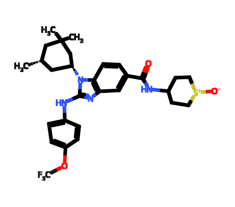 C[C@H]1C[C@@H](n2c(Nc3ccc(OC(F)(F)F)cc3)nc3cc(C(=O)NC4CC[S+]([O-])CC4)ccc32)CC(C)(C)C1